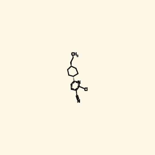 CCC[C@H]1CC[C@H](c2ccc(C#N)c(Cl)n2)CC1